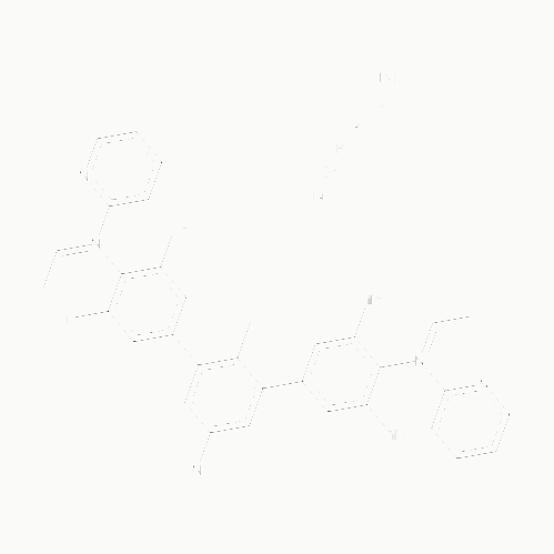 CC=[N+](c1ccccn1)c1c(C(C)C)cc(-c2cc([N+](=O)[O-])cc(-c3cc(C(C)C)c([N+](=CC)c4ccccn4)c(C(C)C)c3)c2C)cc1C(C)C.[Br-].[Br-].[Br-].[Br-].[Pd].[Pd]